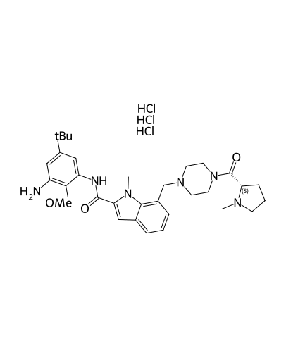 COc1c(N)cc(C(C)(C)C)cc1NC(=O)c1cc2cccc(CN3CCN(C(=O)[C@@H]4CCCN4C)CC3)c2n1C.Cl.Cl.Cl